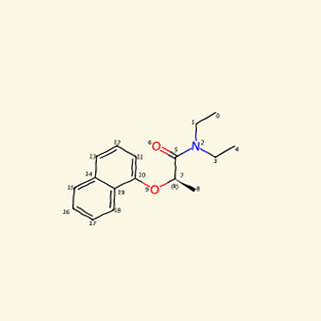 CCN(CC)C(=O)[C@@H](C)Oc1cccc2ccccc12